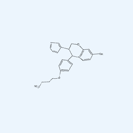 O=C(O)CCCOc1ccc(C2c3ccc(O)cc3OCC2c2ccccc2)cc1